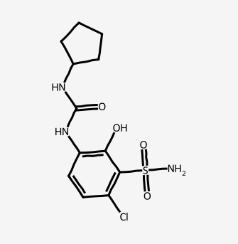 NS(=O)(=O)c1c(Cl)ccc(NC(=O)NC2CCCC2)c1O